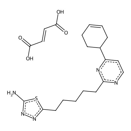 Nc1nnc(CCCCCc2nccc(C3CC=CCC3)n2)s1.O=C(O)C=CC(=O)O